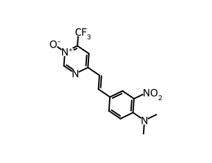 CN(C)c1ccc(C=Cc2cc(C(F)(F)F)[n+]([O-])cn2)cc1[N+](=O)[O-]